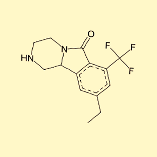 CCc1cc2c(c(C(F)(F)F)c1)C(=O)N1CCNCC21